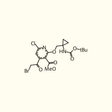 COC(=O)c1c(C(=O)CBr)cc(Cl)nc1OCC1(NC(=O)OC(C)(C)C)CC1